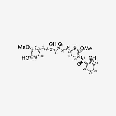 COc1cc(/C=C/C(O)=C/C(=O)/C=C/c2ccc(OC(=O)c3ccccc3O)c(OC)c2)ccc1O